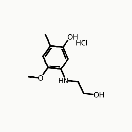 COc1cc(C)c(O)cc1NCCO.Cl